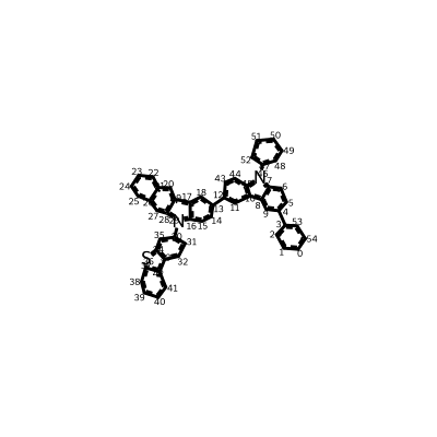 c1ccc(-c2ccc3c(c2)c2cc(-c4ccc5c(c4)c4cc6ccccc6cc4n5-c4ccc5c(c4)sc4ccccc45)ccc2n3-c2ccccc2)cc1